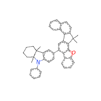 CC1(C)c2ccc3ccccc3c2-c2cc(-c3ccc4c(c3)C3(C)CCCCC3(C)N4c3ccccc3)c3c(oc4ccccc43)c21